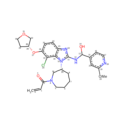 C=CC(=O)N1CCCC[C@@H](n2c(NC(O)c3ccnc(OC)c3)nc3ccc(O[C@@H]4CCOC4)c(Cl)c32)C1